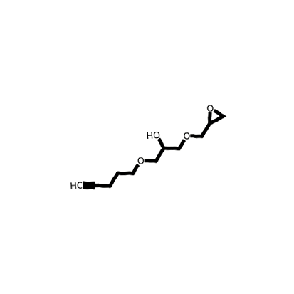 C#CCCCOCC(O)COCC1CO1